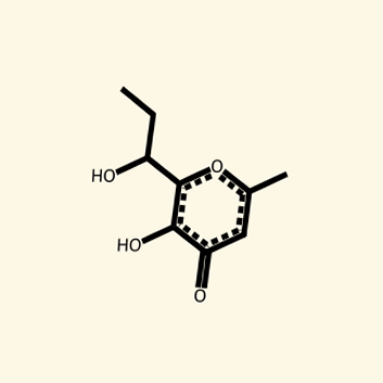 CCC(O)c1oc(C)cc(=O)c1O